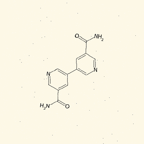 NC(=O)c1cncc(-c2cncc(C(N)=O)c2)c1